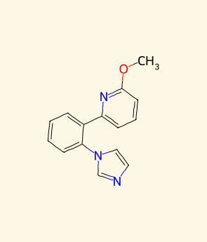 COc1cccc(-c2ccccc2-n2ccnc2)n1